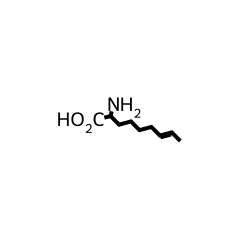 CC=CCCCCC(N)C(=O)O